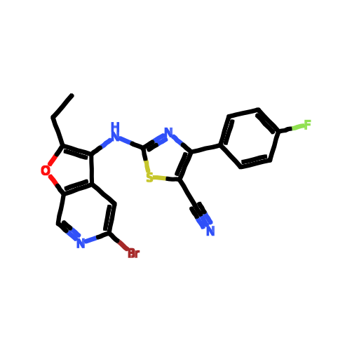 CCc1oc2cnc(Br)cc2c1Nc1nc(-c2ccc(F)cc2)c(C#N)s1